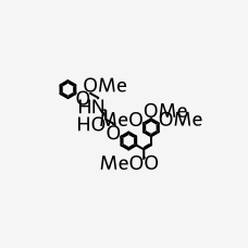 COC(=O)C(=Cc1cc(OC)c(OC)c(OC)c1)c1ccc(OCC(O)CNCC(OC)Oc2ccccc2)cc1